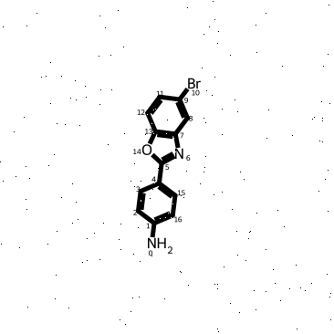 Nc1ccc(-c2nc3cc(Br)ccc3o2)cc1